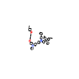 C=Cc1ccc(OCCCCCCOc2ccc3c(c2)c2cc(-c4ccc(N(c5ccc(-c6ccccc6)cc5)C5C=C6C(=CC5)c5ccccc5C6(c5ccc(C)cc5)c5ccc(C=C)cc5)cc4)ccc2n3-c2ccccc2)cc1